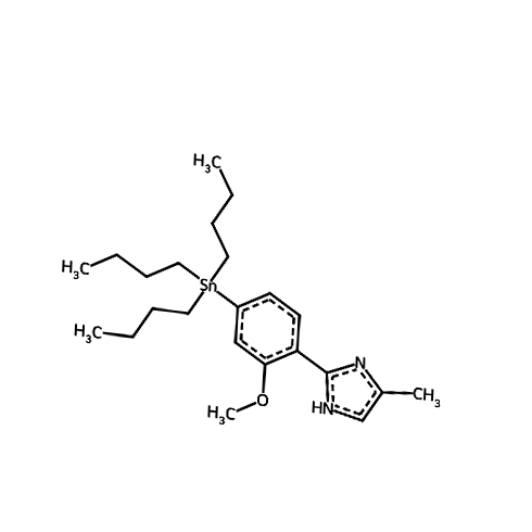 CCC[CH2][Sn]([CH2]CCC)([CH2]CCC)[c]1ccc(-c2nc(C)c[nH]2)c(OC)c1